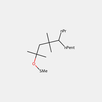 CCCCCC(CCC)C(C)(C)CC(C)(C)OSC